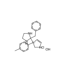 Cc1ccc([N+]2(C3(Cc4ccccc4)NCCN3)C=CCC2)cc1.Cl.Cl